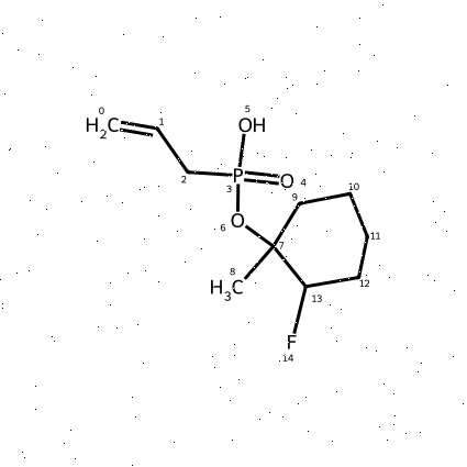 C=CCP(=O)(O)OC1(C)CCCCC1F